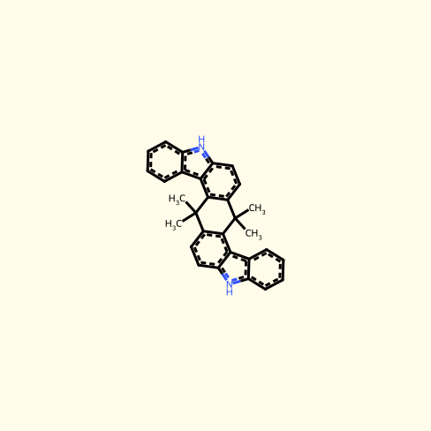 CC1(C)c2ccc3[nH]c4ccccc4c3c2C(C)(C)c2ccc3[nH]c4ccccc4c3c21